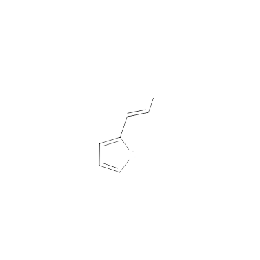 ClC=Cc1cccs1